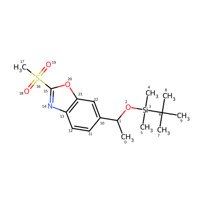 CC(O[Si](C)(C)C(C)(C)C)c1ccc2nc(S(C)(=O)=O)oc2c1